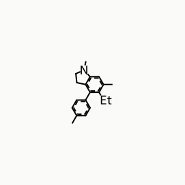 CCc1c(C)cc2c(c1-c1ccc(C)cc1)CCN2C